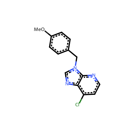 COc1ccc(Cn2cnc3c(Cl)ccnc32)cc1